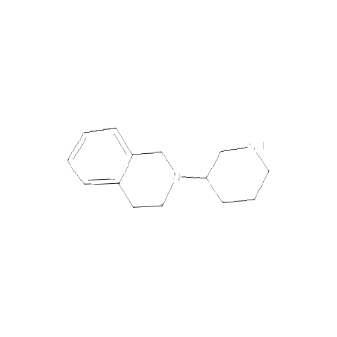 c1ccc2c(c1)CCN(C1CCCNC1)C2